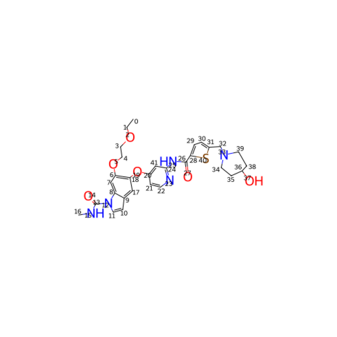 CCOCCOc1cc2c(ccn2C(=O)NC)cc1Oc1ccnc(NC(=O)c2ccc(CN3CCC(O)CC3)s2)c1